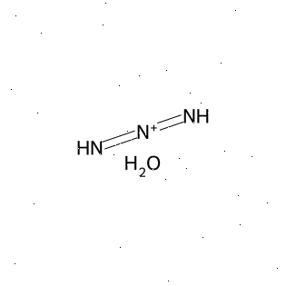 N=[N+]=N.O